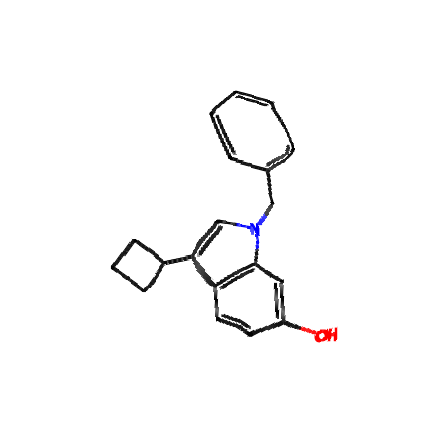 Oc1ccc2c(C3CCC3)cn(Cc3ccccc3)c2c1